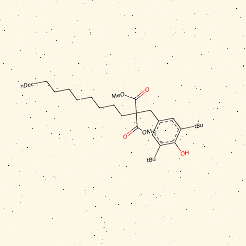 CCCCCCCCCCCCCCCCCCC(Cc1cc(C(C)(C)C)c(O)c(C(C)(C)C)c1)(C(=O)OC)C(=O)OC